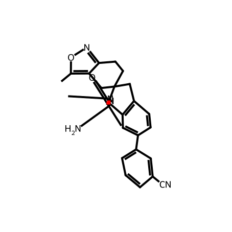 Cc1onc2c1CC1(CC2)Cc2ccc(-c3cccc(C#N)c3)cc2C12N=C(N)N(C)C2=O